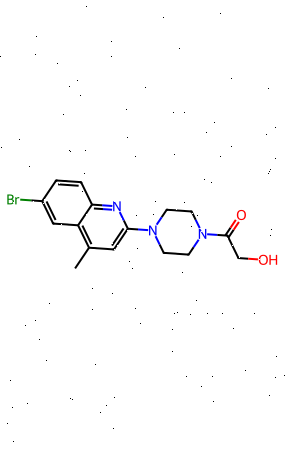 Cc1cc(N2CCN(C(=O)CO)CC2)nc2ccc(Br)cc12